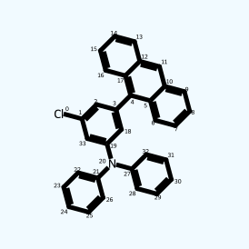 Clc1cc(-c2c3ccccc3cc3ccccc23)cc(N(c2ccccc2)c2ccccc2)c1